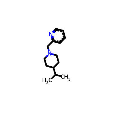 CC(C)C1CCN(Cc2ccccn2)CC1